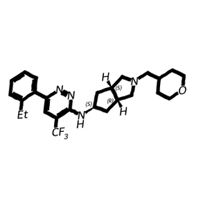 CCc1ccccc1-c1cc(C(F)(F)F)c(N[C@H]2C[C@@H]3CN(CC4CCOCC4)C[C@@H]3C2)nn1